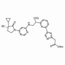 COC(=O)Cn1cc(-c2cccc(C(C=O)CNc3cc(N4CC[C@@](C#N)(C5CC5)C4=O)ccn3)c2)cn1